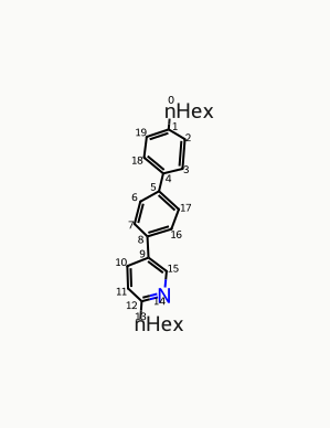 CCCCCCc1ccc(-c2ccc(-c3ccc(CCCCCC)nc3)cc2)cc1